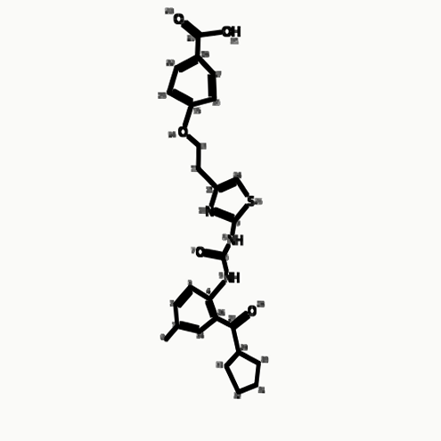 Cc1ccc(NC(=O)Nc2nc(CCOc3ccc(C(=O)O)cc3)cs2)c(C(=O)C2CCCC2)c1